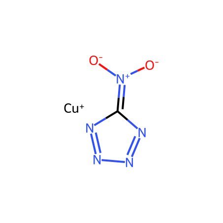 [Cu+].[O-][N+]([O-])=C1N=NN=N1